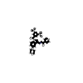 O=C(/C=C/c1cn(C(=O)c2cc([N+](=O)[O-])cc([N+](=O)[O-])c2)c2ccc(N3CCOCC3)cc12)c1ccncc1